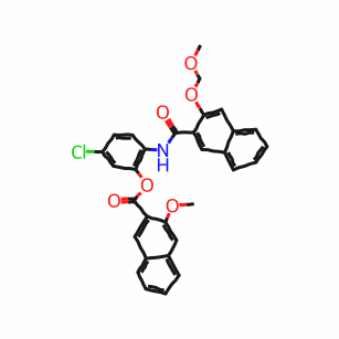 COCOc1cc2ccccc2cc1C(=O)Nc1ccc(Cl)cc1OC(=O)c1cc2ccccc2cc1OC